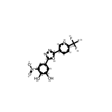 O=[N+]([O-])c1cc(-c2nnc(-c3ccc(C(F)(F)F)nc3)o2)cc(O)c1O